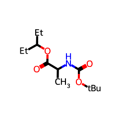 CCC(CC)OC(=O)C(C)NC(=O)OC(C)(C)C